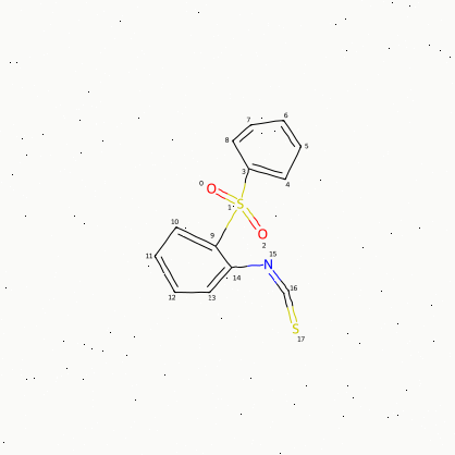 O=S(=O)(c1ccccc1)c1ccccc1N=C=S